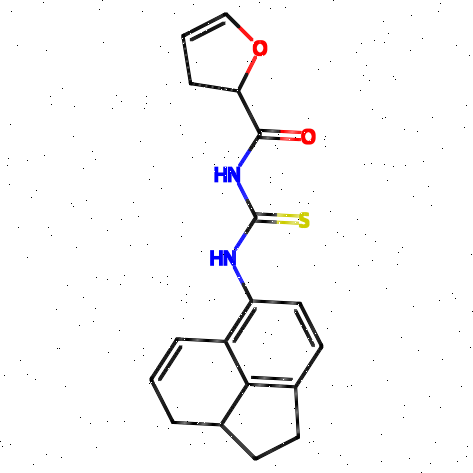 O=C(NC(=S)Nc1ccc2c3c1C=CCC3CC2)C1CC=CO1